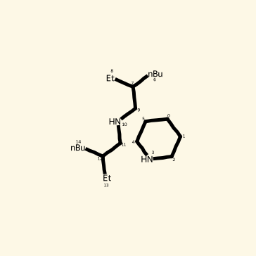 C1CCNCC1.CCCCC(CC)CNCC(CC)CCCC